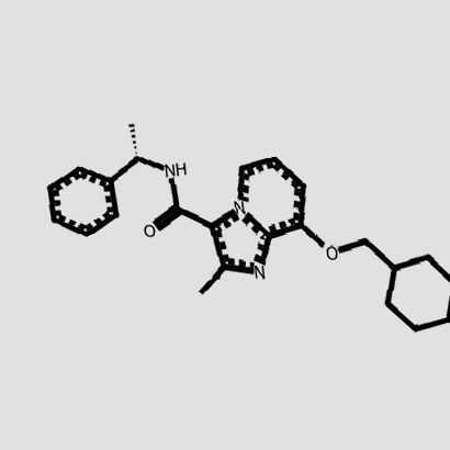 Cc1nc2c(OCC3CCCCC3)cccn2c1C(=O)N[C@@H](C)c1ccccc1